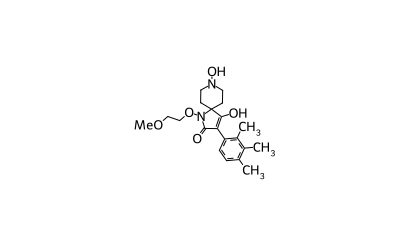 COCCON1C(=O)C(c2ccc(C)c(C)c2C)=C(O)C12CCN(O)CC2